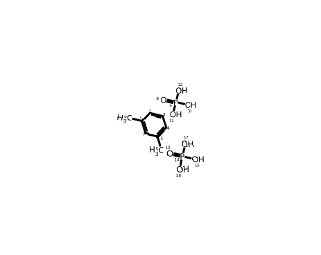 Cc1cccc(C)c1.O=P(O)(O)O.O=P(O)(O)O